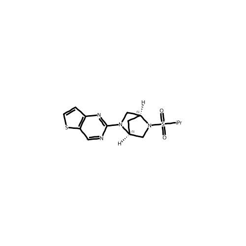 CC(C)S(=O)(=O)N1C[C@@H]2C[C@H]1CN2c1n[c]c2sccc2n1